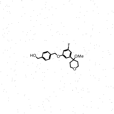 COC1(c2cc(F)cc(OCc3ccc(CO)cc3)c2)CCOCC1